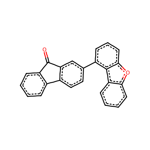 O=C1c2ccccc2-c2ccc(-c3cccc4oc5ccccc5c34)cc21